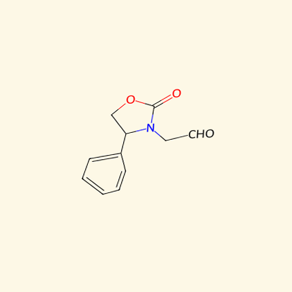 O=CCN1C(=O)OCC1c1ccccc1